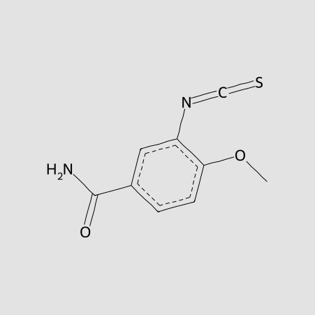 COc1ccc(C(N)=O)cc1N=C=S